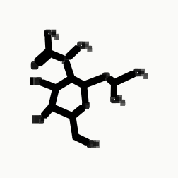 CC(=O)N(C)C1C(OC(C)C)OC(CO)C(O)C1O